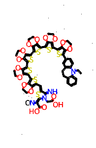 [C-]#[N+]/C(C(=O)O)=c1\s/c(=C\c2sc(-c3sc(-c4sc(-c5sc(-c6sc(-c7sc(-c8ccc9c(c8)CCc8ccccc8N9CC)c8c7OCCO8)c7c6OCCO7)c6c5OCCO6)c5c4OCCO5)c4c3OCCO4)c3c2OCCO3)c(=N)n1CC(=O)O